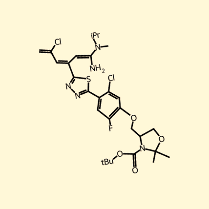 C=C(Cl)/C=C(\C=C(/N)N(C)C(C)C)c1nnc(-c2cc(F)c(OCC3COC(C)(C)N3C(=O)OC(C)(C)C)cc2Cl)s1